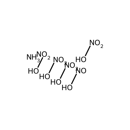 N.O=NO.O=[N+]([O-])O.O=[N+]([O-])O.O=[N+]([O-])O.O=[N+]([O-])O